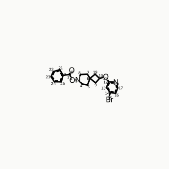 O=C(ON1CCC2(CC1)CC(Oc1cc(Br)ccn1)C2)c1ccccc1